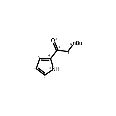 [CH2]CCCCC(=O)c1ccc[nH]1